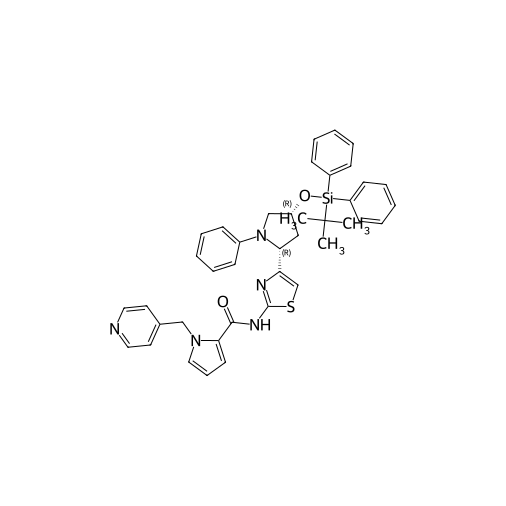 CC(C)(C)[Si](O[C@@H]1C[C@H](c2csc(NC(=O)c3cccn3Cc3ccncc3)n2)N(c2ccccc2)C1)(c1ccccc1)c1ccccc1